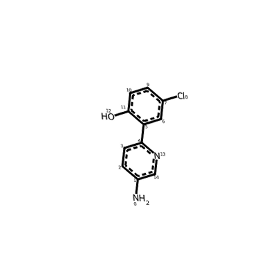 Nc1ccc(-c2cc(Cl)ccc2O)nc1